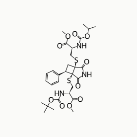 COC(=O)[C@H](CS[C@]12C[C@H](c3ccccc3)[C@@]1(SC[C@H](NC(=O)OC(C)(C)C)C(=O)OC)C(=O)NC2=O)NC(=O)OC(C)C